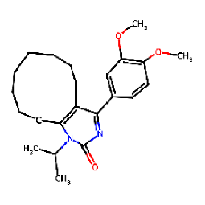 COc1ccc(-c2nc(=O)n(C(C)C)c3c2CCCCCCCC3)cc1OC